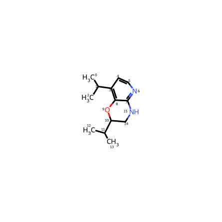 CC(C)c1ccnc2c1OC(C(C)C)CN2